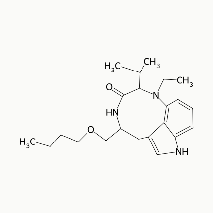 CCCCOCC1Cc2c[nH]c3cccc(c23)N(CC)C(C(C)C)C(=O)N1